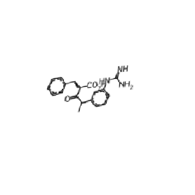 CC(C(=O)C(=Cc1ccccc1)C(=O)O)c1cccc(NC(=N)N)c1